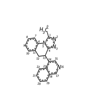 Cc1nnc2n1-c1ccccc1CC2c1cncc2ccccc12